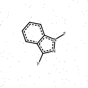 Fc1nn(F)c2ccccc12